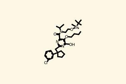 CCCCOc1c(O)nc(CC2(c3cccc(Cl)c3)CCCC2)nc1C(=O)N(CCO[Si](C)(C)C(C)(C)C)C(C)C